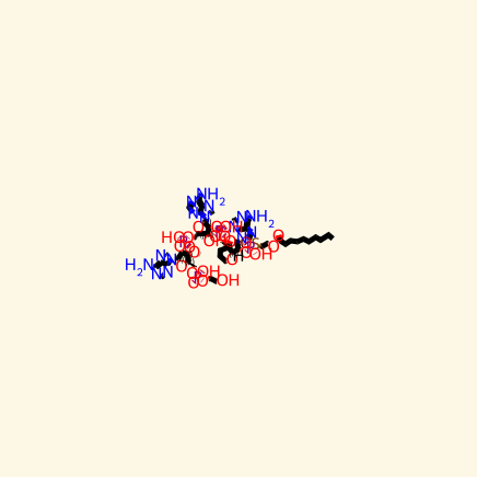 CCCCCCCCCC(=O)OCCSP(=O)(O)OC1[C@H](n2cnc3c(N)ncnc32)O[C@@]2(COP(=O)(O)OC3[C@@H](O)[C@@H](COP(=O)(O)OC4[C@@H](OC)[C@@H](COP(=O)(O)OCCO)O[C@H]4n4cnc5c(N)ncnc54)O[C@H]3n3cnc4c(N)ncnc43)CCCO[C@H]12